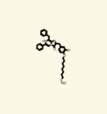 O=NSCCCCCCCCOc1ccc(Cc2nc3c(Cc4ccccc4)[nH]c(C4=CCCC=C4)cn-3c2=O)cc1Cl